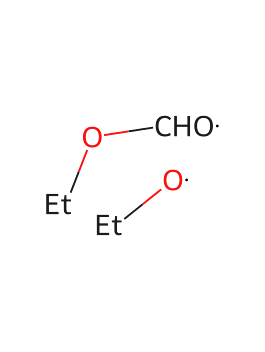 CCO[C]=O.CC[O]